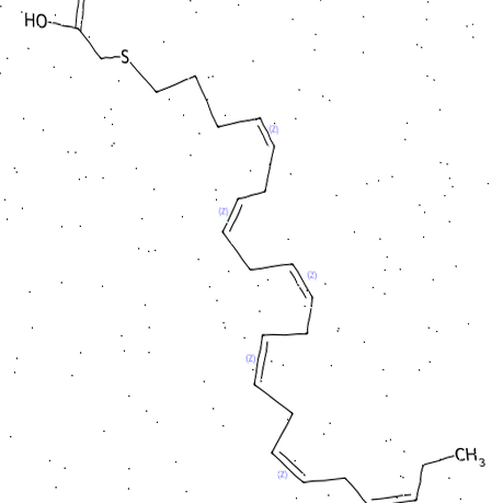 CC/C=C\C/C=C\C/C=C\C/C=C\C/C=C\C/C=C\CCCSCC(=O)O